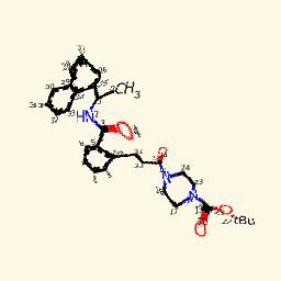 CC(NC(=O)c1ccccc1CCC(=O)N1CCN(C(=O)OC(C)(C)C)CC1)c1cccc2ccccc12